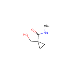 CCCCNC(=O)C1(CO)CC1